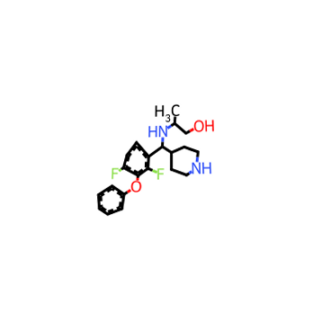 CC(CO)NC(c1ccc(F)c(Oc2ccccc2)c1F)C1CCNCC1